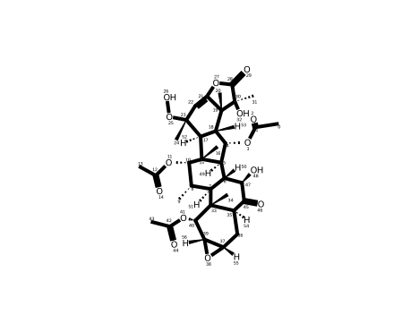 CC(=O)O[C@@H]1[C@H]2[C@H]3[C@H]([C@H](C)[C@H](OC(C)=O)[C@]2(C)[C@@H]2[C@@H]1[C@]1(C)C(=C[C@@]2(C)OO)OC(=O)[C@@]1(C)O)[C@]1(C)[C@H](C[C@@H]2O[C@@H]2[C@@H]1OC(C)=O)C(=O)[C@@H]3O